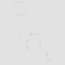 NC[C@@H]1CC[C@@H]2CN1C(=S)N2OCc1ccccc1